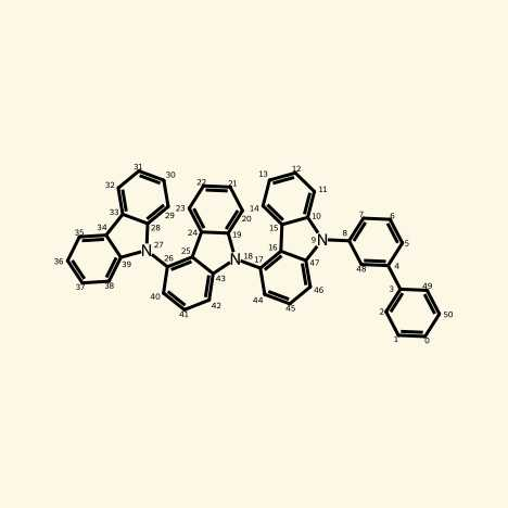 c1ccc(-c2cccc(-n3c4ccccc4c4c(-n5c6ccccc6c6c(-n7c8ccccc8c8ccccc87)cccc65)cccc43)c2)cc1